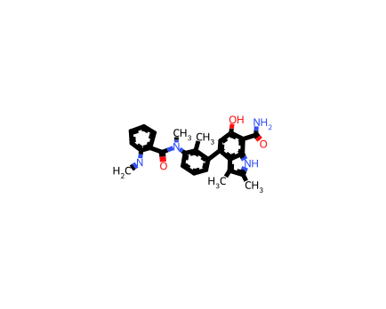 C=Nc1ccccc1C(=O)N(C)c1cccc(-c2cc(O)c(C(N)=O)c3[nH]c(C)c(C)c23)c1C